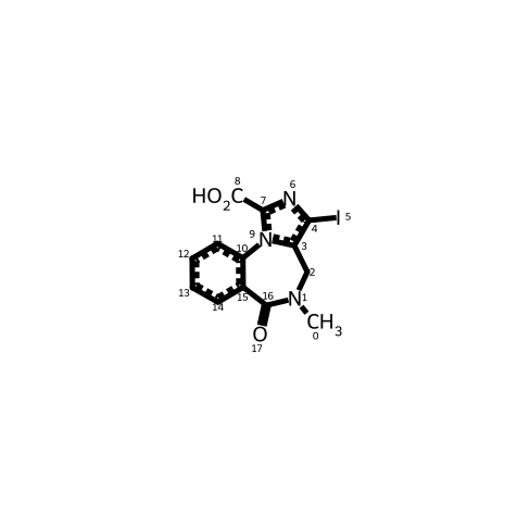 CN1Cc2c(I)nc(C(=O)O)n2-c2ccccc2C1=O